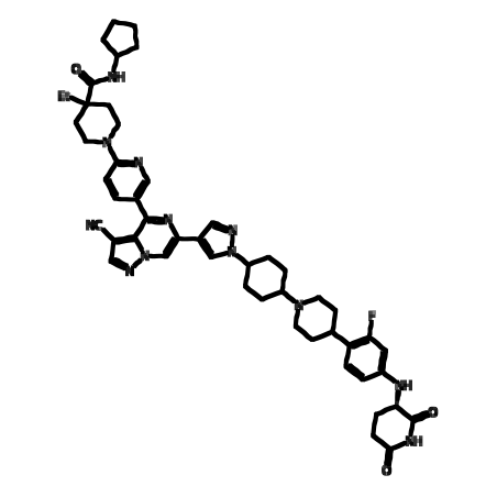 CCC1(C(=O)NC2CCCC2)CCN(c2ccc(-c3nc(-c4cnn(C5CCC(N6CCC(c7ccc(N[C@@H]8CCC(=O)NC8=O)cc7F)CC6)CC5)c4)cn4ncc(C#N)c34)cn2)CC1